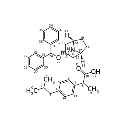 CC(C)Cc1ccc(C(C)C(=O)O)cc1.CN1[C@@H]2CC[C@H]1C[C@@H](OC(c1ccccc1)c1ccccc1)C2